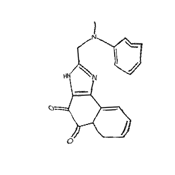 CN(Cc1nc2c([nH]1)C(=O)C(=O)C1CC=CC=C21)c1ccccc1